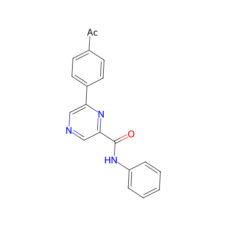 CC(=O)c1ccc(-c2cncc(C(=O)Nc3ccccc3)n2)cc1